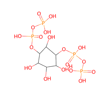 O=P(O)(O)OP(=O)(O)OC1C(O)C(O)C(O)C(OP(=O)(O)OP(=O)(O)O)C1O